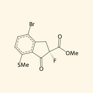 COC(=O)[C@]1(F)Cc2c(Br)ccc(SC)c2C1=O